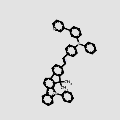 CC1(C)c2cc(/C=C/c3ccc(N(c4ccccc4)c4cccc(-c5cccnc5)c4)cc3)ccc2-c2ccc3c4ccccc4n(-c4ccccc4)c3c21